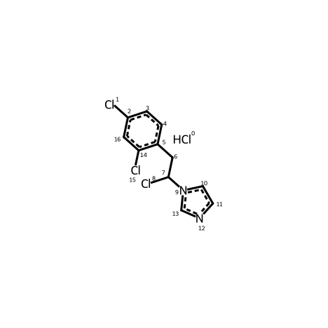 Cl.Clc1ccc(CC(Cl)n2ccnc2)c(Cl)c1